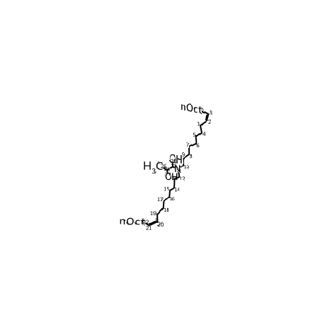 CCCCCCCC/C=C\CCCCCCCCN(CCCCCCCC/C=C\CCCCCCCC)C(O)C(C)O